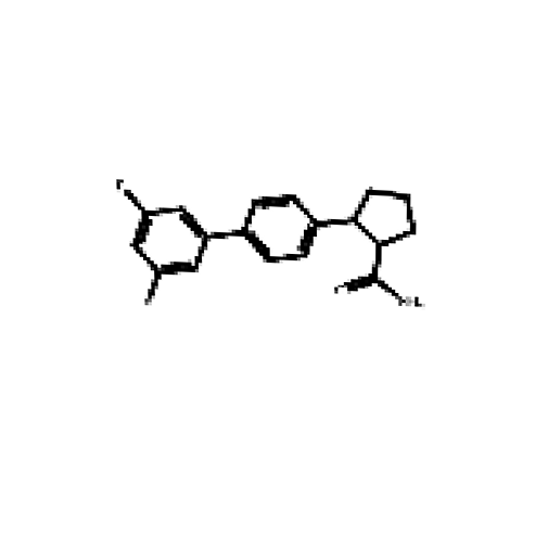 NC(=O)C1CCCC1c1ccc(-c2cc(F)cc(F)c2)cc1